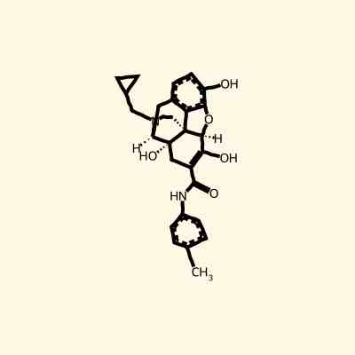 Cc1ccc(NC(=O)C2=C(O)[C@@H]3Oc4c(O)ccc5c4[C@@]34CCN(CC3CC3)[C@H](C5)[C@]4(O)C2)cc1